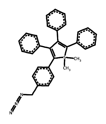 CS1(C)C(c2ccccc2)=C(c2ccccc2)C(c2ccccc2)=C1c1ccc(CN=[N+]=[N-])cc1